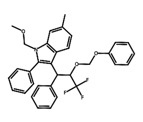 COCn1c(-c2ccccc2)c(C(c2ccccc2)C(OCOc2ccccc2)C(F)(F)F)c2ccc(C)cc21